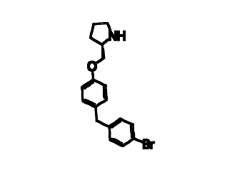 Brc1ccc(Cc2ccc(OC[C@H]3CCCN3)cc2)cc1